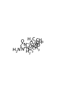 CC(C)C(OCCn1c(N)nc(N)cc1=O)(C(C)C)P(=O)(O)O